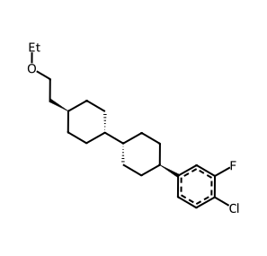 CCOCC[C@H]1CC[C@H]([C@H]2CC[C@H](c3ccc(Cl)c(F)c3)CC2)CC1